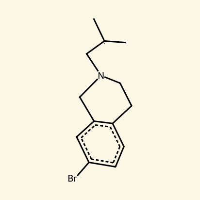 C[C](C)CN1CCc2ccc(Br)cc2C1